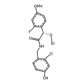 CCO[C@H](C(=O)NCc1ccc(C#N)cc1Cl)c1ccc(OC)cc1F